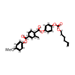 C=CCCCCOC(=O)Oc1ccc(OC(=O)c2ccc(C(=O)Oc3ccc(OC)cc3)cc2C)cc1